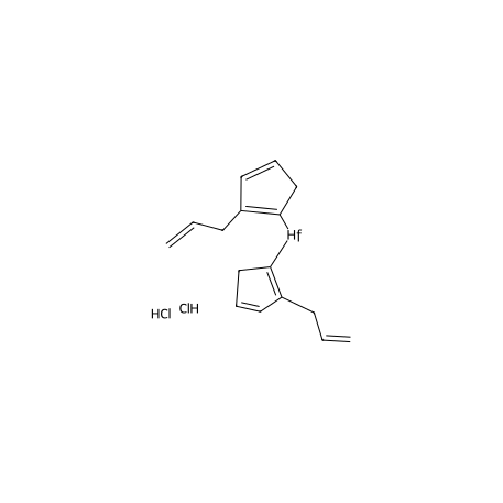 C=CCC1=[C]([Hf][C]2=C(CC=C)C=CC2)CC=C1.Cl.Cl